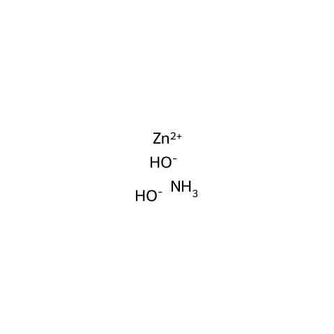 N.[OH-].[OH-].[Zn+2]